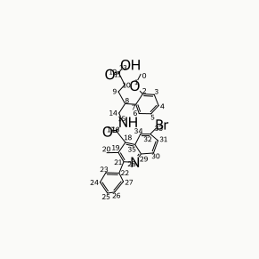 COc1ccccc1C(CCC(=O)O)CNC(=O)c1c(C)c(-c2ccccc2)nc2ccc(Br)cc12